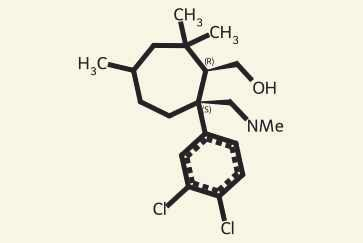 CNC[C@@]1(c2ccc(Cl)c(Cl)c2)CCC(C)CC(C)(C)[C@H]1CO